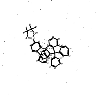 CC1(C)OB(c2ccc3c4ccccc4n(-c4cccc5c4C(c4ccccc4)(c4ccccc4)c4ccccc4-5)c3c2)OC1(C)C